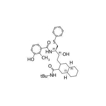 Cc1c(O)cccc1C(=O)N[C@@H](CSc1ccccc1)[C@H](O)CC1C[C@H]2CCCC[C@H]2CC1C(=O)NC(C)(C)C